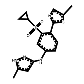 Cc1cc(Nc2ccc(-c3ncc(C)s3)c(S(=O)(=O)C3CC3)c2)n[nH]1